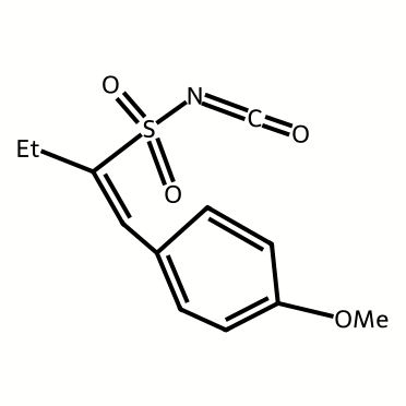 CCC(=Cc1ccc(OC)cc1)S(=O)(=O)N=C=O